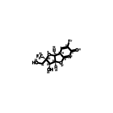 O=c1nc2n(cc1F)[C@@H]1O[C@@](CO)(C(F)(F)F)[C@@H](O)[C@@H]1O2